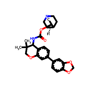 CC1(C)COc2cc(-c3ccc4c(c3)OCO4)ccc2C1NC(=O)O[C@H]1CN2CCC1CC2